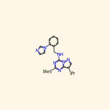 CSc1nc(NCc2ccccc2-n2ccnc2)n2ncc(C(C)C)c2n1